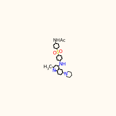 CC(=O)Nc1ccc(S(=O)(=O)c2ccc(Nc3cc(C)nc4ccc(N5CCCCC5)cc34)cc2)cc1